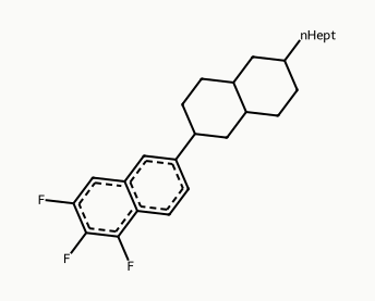 CCCCCCCC1CCC2CC(c3ccc4c(F)c(F)c(F)cc4c3)CCC2C1